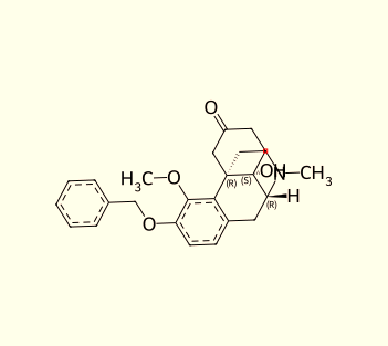 COc1c(OCc2ccccc2)ccc2c1[C@]13CCN(C)[C@H](C2)[C@]1(O)CCC(=O)C3